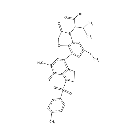 COc1cc(-c2cn(C)c(=O)c3c2ccn3S(=O)(=O)c2ccc(C)cc2)c2c(c1)N(C(C(=O)O)C(C)C)C(=O)CO2